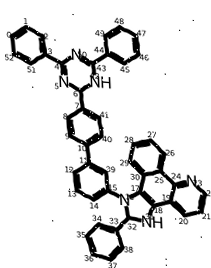 c1ccc(C2=NC(c3ccc(-c4cccc(N5c6c(c7cccnc7c7ccccc67)NC5c5ccccc5)c4)cc3)NC(c3ccccc3)=N2)cc1